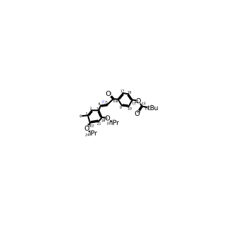 Cc1cc(/C=C/C(=O)c2ccc(OC(=O)C(C)(C)C)cc2)c(OC(C)C)cc1OC(C)C